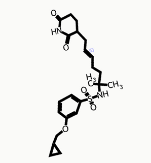 CC(C)(CC/C=C/CC1CCC(=O)NC1=O)NS(=O)(=O)c1cccc(OCC2CC2)c1